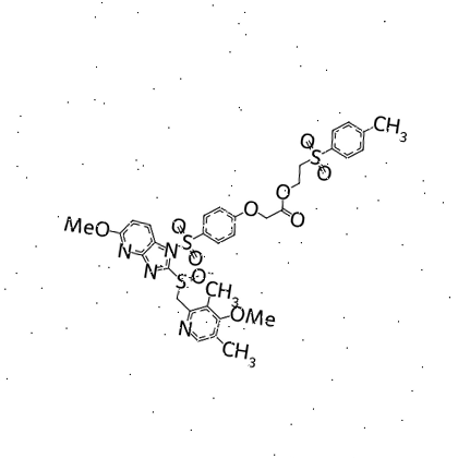 COc1ccc2c(n1)nc([S+]([O-])Cc1ncc(C)c(OC)c1C)n2S(=O)(=O)c1ccc(OCC(=O)OCCS(=O)(=O)c2ccc(C)cc2)cc1